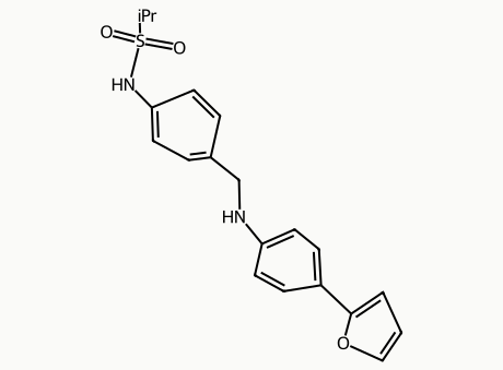 CC(C)S(=O)(=O)Nc1ccc(CNc2ccc(-c3ccco3)cc2)cc1